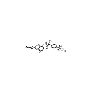 COc1ccc2c(CN3CC(=O)N(c4ccc(S(=O)(=O)C(F)(F)F)cc4)C3=O)ccnc2c1